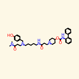 CN(C)C(=O)CCN(CCCCCNC(=O)CCN1CCC(OC(=O)Nc2ccccc2-c2ccccc2)CC1)Cc1ccc(O)cc1